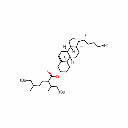 CC(C)CCC[C@@H](C)[C@H]1CC[C@H]2[C@@H]3CC=C4C[C@@H](OC(=O)C(CCC(C)CC(C)(C)C)C(C)CC(C)(C)C)CC[C@]4(C)[C@H]3CC[C@]12C